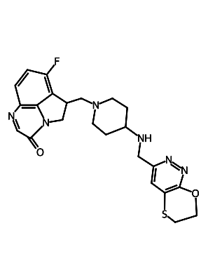 O=c1cnc2ccc(F)c3c2n1CC3CN1CCC(NCc2cc3c(nn2)OCCS3)CC1